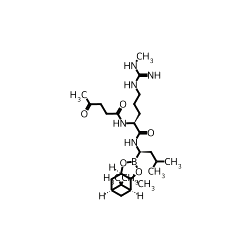 CNC(=N)NCCC[C@H](NC(=O)CCC(C)=O)C(=O)N[C@@H](CC(C)C)B1O[C@@H]2C[C@@H]3C[C@@H](C3(C)C)[C@]2(C)O1